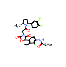 CNC(=O)Nc1ccc2c(c1F)CC[C@@]21OC(=O)N(CC(=O)N2[C@@H](C)CC[C@H]2c2ccc(F)c(F)c2)C1=O